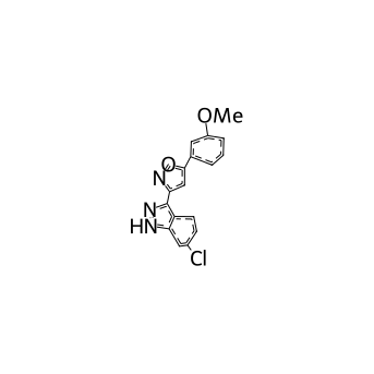 COc1cccc(-c2cc(-c3n[nH]c4cc(Cl)ccc34)no2)c1